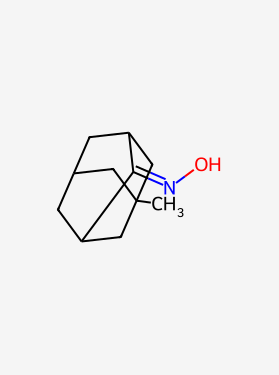 CC12CC3CC(C1)C(=NO)C(C3)C2